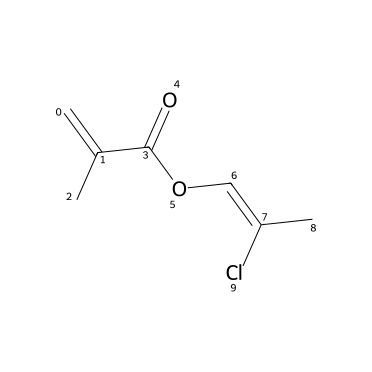 C=C(C)C(=O)OC=C(C)Cl